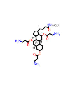 CCCCCCCCNC(=O)CC[C@@H](C)[C@H]1CC[C@H]2[C@@H]3[C@H](OC(=O)CCN)C[C@@H]4C[C@H](OC(=O)CCN)CC[C@]4(C)[C@H]3C[C@H](OC(=O)CCN)[C@]12C